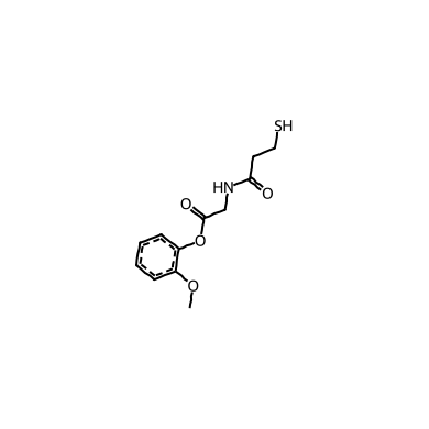 COc1ccccc1OC(=O)CNC(=O)CCS